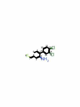 C\C=C(/C(N)=C\C=C\F)c1ccc(Cl)c(Cl)c1